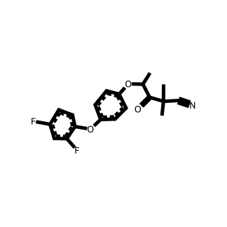 CC(Oc1ccc(Oc2ccc(F)cc2F)cc1)C(=O)C(C)(C)C#N